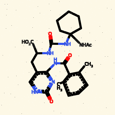 CC(=O)NC1(NC(=O)NC(Cc2c[nH]c(=O)nc2NC(=O)c2c(C)cccc2C)C(=O)O)CCCCC1